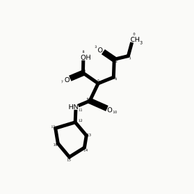 CCC(=O)CC(C(=O)O)C(=O)NC1CCCCC1